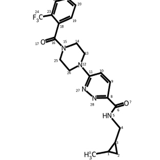 CC1CC1CNC(=O)c1ccc(N2CCN(C(=O)c3ccccc3C(F)(F)F)CC2)nn1